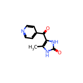 Cc1[nH]c(=O)[nH]c1C(=O)c1ccncc1